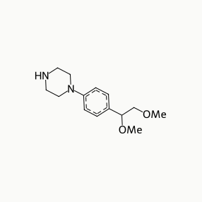 COCC(OC)c1ccc(N2CCNCC2)cc1